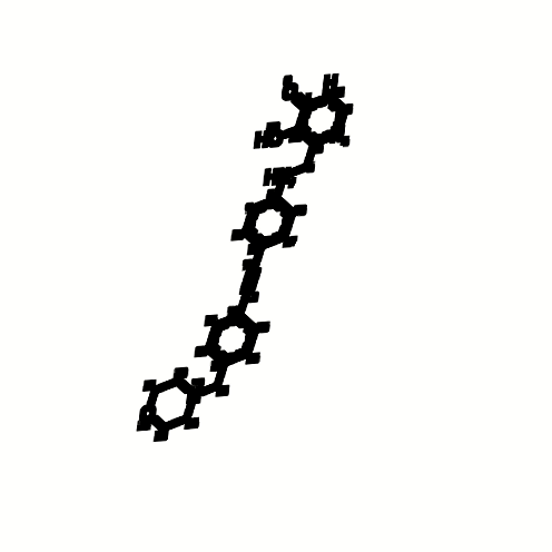 O=c1[nH]cnc(CNc2ccc(C#Cc3ccc(CN4CCOCC4)cc3)cc2)c1O